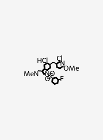 CNCc1cn(S(=O)(=O)c2cccc(F)c2)c2cc(Cc3ccc(OC)nc3Cl)ccc12.Cl